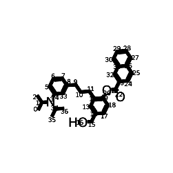 CC(C)N(c1cccc(CCCc2cc(CO)ccc2OC(=O)c2ccc3ccccc3c2)c1)C(C)C